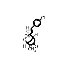 C[C@@H]1C(=O)C[C@H]2CC[C@@H]1OO[C@@]2(C)C=Cc1ccc(Cl)cc1